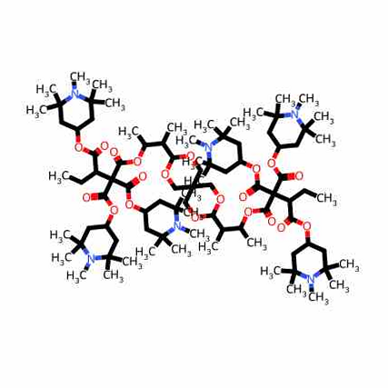 CCC(C(=O)OC1CC(C)(C)N(C)C(C)(C)C1)C(C(=O)OC1CC(C)(C)N(C)C(C)(C)C1)(C(=O)OC1CC(C)(C)N(C)C(C)(C)C1)C(=O)OC(C)C(C)C1OCC2(CO1)COC(C(C)C(C)OC(=O)C(C(=O)OC1CC(C)(C)N(C)C(C)(C)C1)(C(=O)OC1CC(C)(C)N(C)C(C)(C)C1)C(CC)C(=O)OC1CC(C)(C)N(C)C(C)(C)C1)OC2